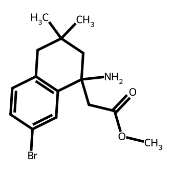 COC(=O)CC1(N)CC(C)(C)Cc2ccc(Br)cc21